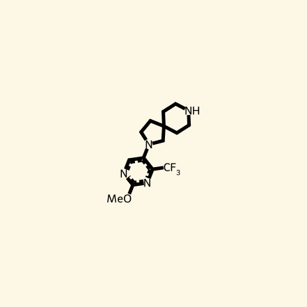 COc1ncc(N2CCC3(CCNCC3)C2)c(C(F)(F)F)n1